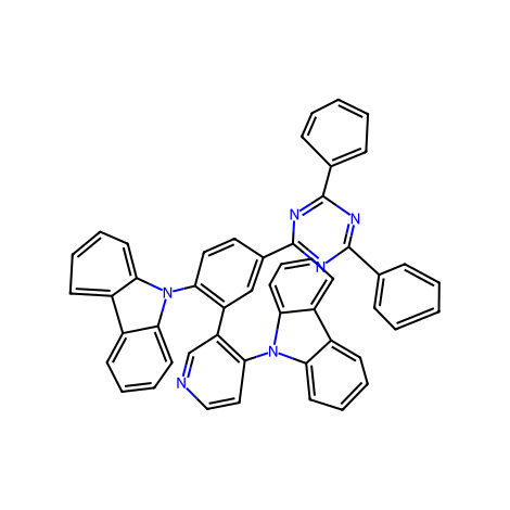 c1ccc(-c2nc(-c3ccccc3)nc(-c3ccc(-n4c5ccccc5c5ccccc54)c(-c4cnccc4-n4c5ccccc5c5ccccc54)c3)n2)cc1